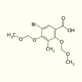 COCOc1c(Br)cc(C(=O)O)c(OCOC)c1C